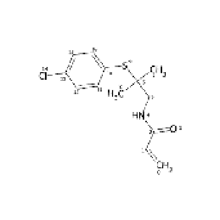 C=CC(=O)NCC(C)(C)Sc1ccc(Cl)cc1